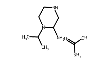 CC(C)N1CCNCC1N.NC(=O)O